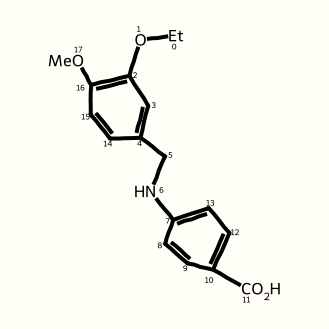 CCOc1cc(CNc2ccc(C(=O)O)cc2)ccc1OC